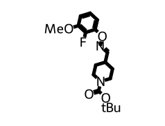 COc1cccc(ON=CC2CCN(C(=O)OC(C)(C)C)CC2)c1F